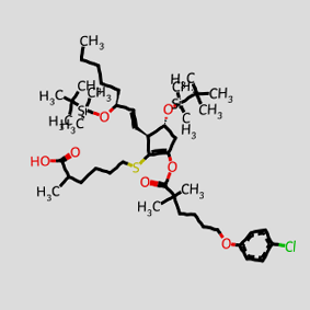 CCCCC[C@@H](C=C[C@@H]1C(SCCCCC(C)C(=O)O)=C(OC(=O)C(C)(C)CCCCOc2ccc(Cl)cc2)C[C@H]1O[Si](C)(C)C(C)(C)C)O[Si](C)(C)C(C)(C)C